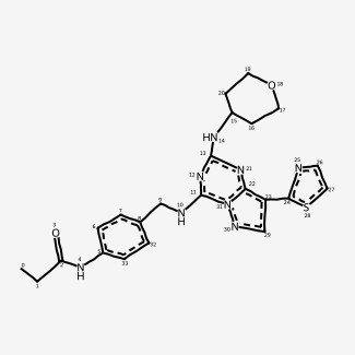 CCC(=O)Nc1ccc(CNc2nc(NC3CCOCC3)nc3c(-c4nccs4)cnn23)cc1